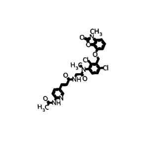 CC(=O)Nc1ccc(C=CC(=O)NCC(=O)N(C)c2ccc(Cl)c(COc3cccc4c3oc(=O)n4C)c2Cl)cn1